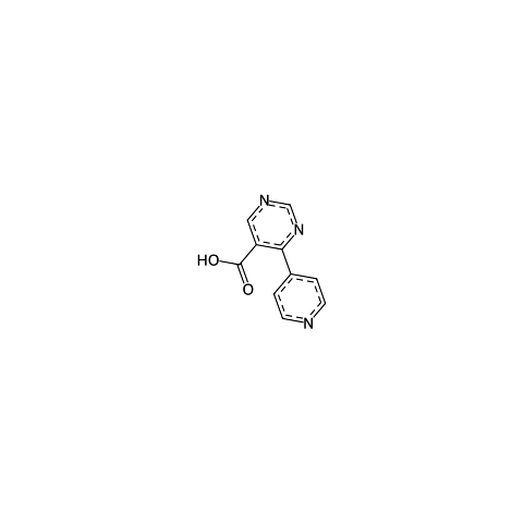 O=C(O)c1cncnc1-c1ccncc1